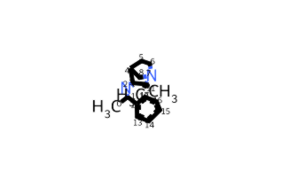 CC(/N=C1/C2CCN(C2)C1(C)C)c1ccccc1